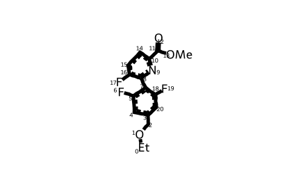 CCOCc1cc(F)c(-c2nc(C(=O)OC)ccc2F)c(F)c1